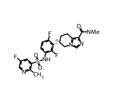 CNC(=O)c1ncn2c1CC[C@@H](c1c(F)ccc(NS(=O)(=O)c3cc(F)cnc3C)c1F)C2